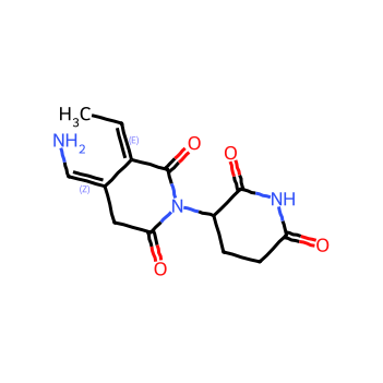 C/C=C1/C(=O)N(C2CCC(=O)NC2=O)C(=O)C/C1=C/N